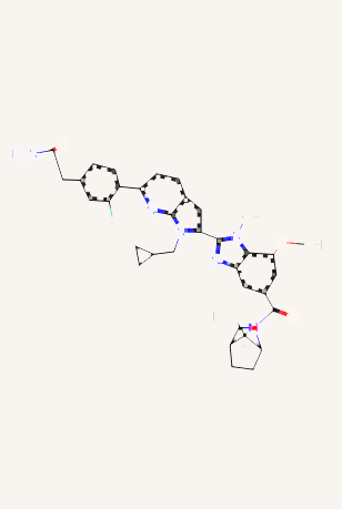 COc1cc(C(=O)N2CC3CCC2[C@@H]3C)cc2nc(-c3cc4ccc(-c5ccc(CC(N)=O)cc5F)nc4n3CC3CC3)n(C)c12